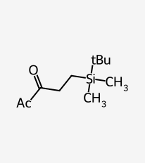 CC(=O)C(=O)CC[Si](C)(C)C(C)(C)C